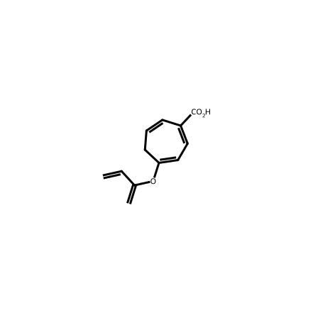 C=CC(=C)OC1=CC=C(C(=O)O)C=CC1